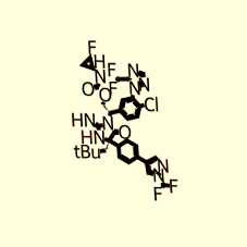 CC(C)(C)C[C@]1(C2C=CC(c3cnn(C(F)F)c3)=CC2)NC(=N)N([C@H](COC(=O)N[C@H]2C[C@@H]2F)c2ccc(Cl)c(-n3ncnc3C(F)F)c2)C1=O